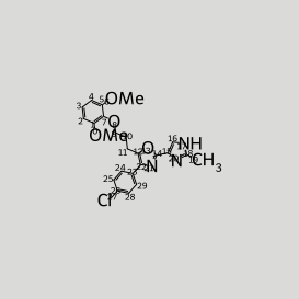 COc1cccc(OC)c1OCCCc1oc(-c2c[nH]c(C)n2)nc1-c1ccc(Cl)cc1